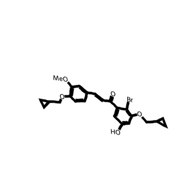 COc1cc(/C=C/C(=O)c2cc(O)cc(OCC3CC3)c2Br)ccc1OCC1CC1